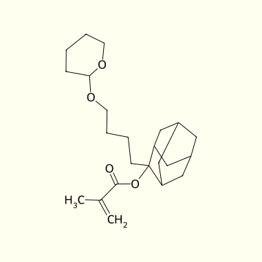 C=C(C)C(=O)OC1(CCCCOC2CCCCO2)C2CC3CC(C2)CC1C3